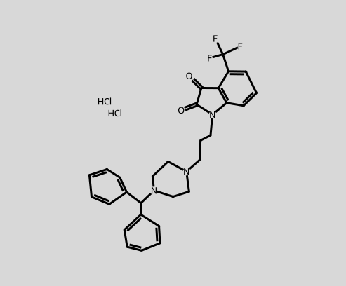 Cl.Cl.O=C1C(=O)N(CCCN2CCN(C(c3ccccc3)c3ccccc3)CC2)c2cccc(C(F)(F)F)c21